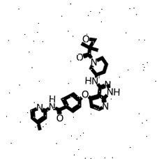 Cc1ccnc(NC(=O)c2ccc(Oc3ccnc4[nH]nc(N[C@@H]5CCCN(C(=O)C6(C)COC6)C5)c34)cc2)c1